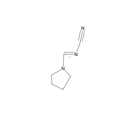 N#C/N=C/N1CCCC1